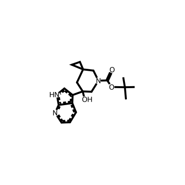 CC(C)(C)OC(=O)N1CC2(CC2)CC(O)(c2c[nH]c3ncccc23)C1